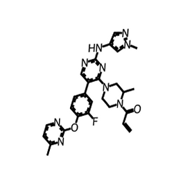 C=CC(=O)N1CCN(c2nc(Nc3cnn(C)c3)ncc2-c2ccc(Oc3nccc(C)n3)c(F)c2)CC1C